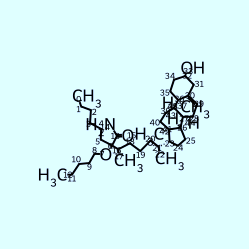 CCCCCCC(OCCCCC)(C(N)=O)C(C)CCCC(C)[C@H]1CC[C@H]2[C@@H]3CC=C4C[C@@H](O)CC[C@]4(C)[C@H]3CC[C@]12C